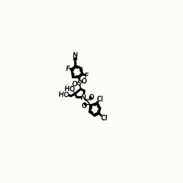 N#Cc1cc(F)c(S(=O)(=O)[C@H]2CN(S(=O)(=O)c3ccc(Cl)cc3Cl)C[C@@]2(O)CO)cc1F